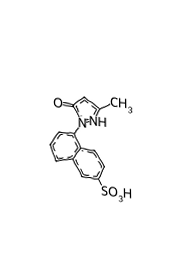 Cc1cc(=O)n(-c2cccc3cc(S(=O)(=O)O)ccc23)[nH]1